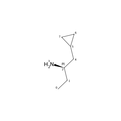 CC[C@@H](N)CC1CC1